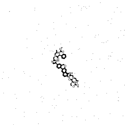 CCCN(Cc1nc2ccc3cc4c(cc3c2[nH]1)OCc1cc(-c2cnc(CN(CCC)C(=O)[C@H](NC(=O)OC)c3ccccc3)[nH]2)ccc1-4)C(=O)[C@H](CC)NC(=O)OC